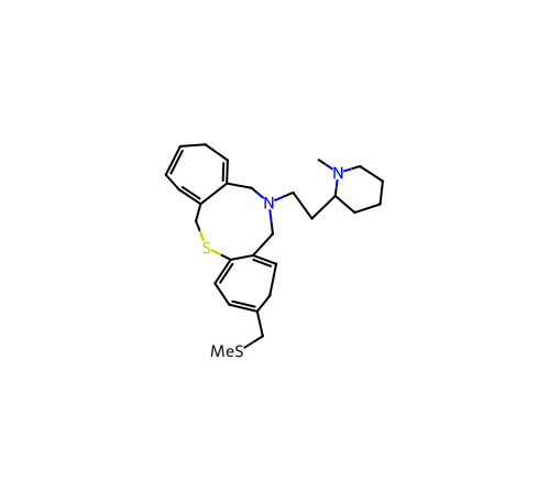 CSCC1=CC=C2SCC3=CC=CCC=C3CN(CCC3CCCCN3C)CC2=CC1